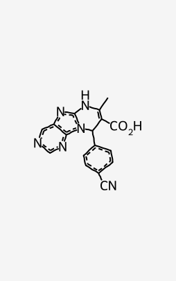 CC1=C(C(=O)O)C(c2ccc(C#N)cc2)n2c(nc3cncnc32)N1